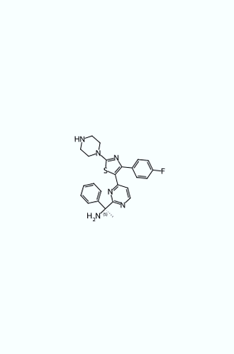 C[C@](N)(c1ccccc1)c1nccc(-c2sc(N3CCNCC3)nc2-c2ccc(F)cc2)n1